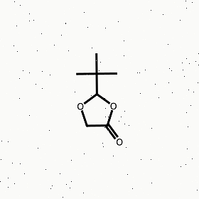 CC(C)(C)C1OCC(=O)O1